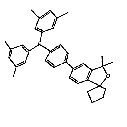 Cc1cc(C)cc(N(c2ccc(-c3ccc4c(c3)C(C)(C)OC43CCCC3)cc2)c2cc(C)cc(C)c2)c1